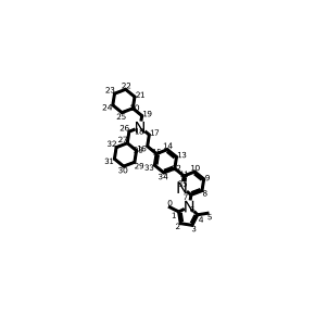 Cc1ccc(C)n1-c1cccc(-c2ccc(CCN(CC3CCCCC3)CC3CCCCC3)cc2)n1